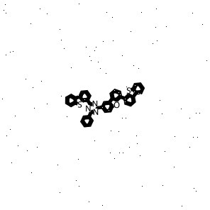 c1ccc(-c2nc(-c3ccc4oc5c(-c6cccc7c6sc6ccccc67)cccc5c4c3)nc(-c3cccc4c3sc3ccccc34)n2)cc1